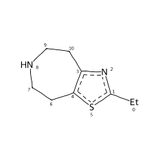 CCc1nc2c(s1)CCNCC2